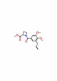 C=CCc1cc(C(=O)N2CC[C@@H]2C(=O)OC)cc(OC)c1OC